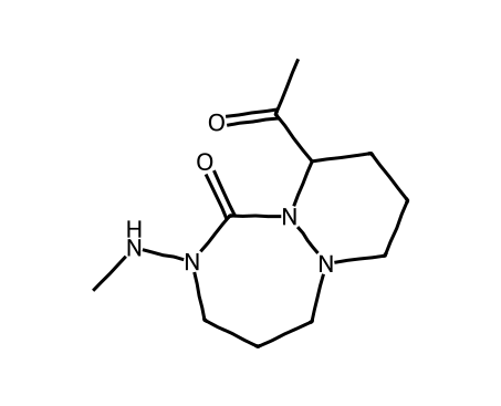 CNN1CCCN2CCCC(C(C)=O)N2C1=O